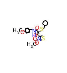 COC(=O)N1CSC[C@H]1C(=O)[C@@H](CSCC1CCCCC1)C(=O)NCc1ccc(OC)cc1